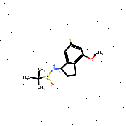 COc1cc(F)cc2c1CC[C@H]2N[S@+]([O-])C(C)(C)C